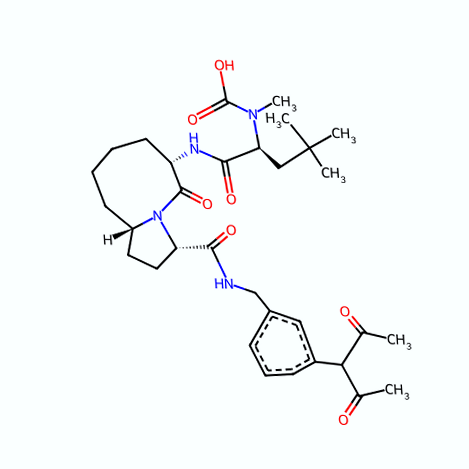 CC(=O)C(C(C)=O)c1cccc(CNC(=O)[C@@H]2CC[C@@H]3CCCC[C@H](NC(=O)[C@H](CC(C)(C)C)N(C)C(=O)O)C(=O)N32)c1